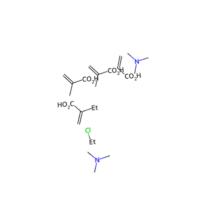 C=C(C)C(=O)O.C=C(C)C(=O)O.C=C(CC)C(=O)O.C=CC(=O)O.CCCl.CN(C)C.CN(C)C